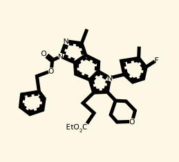 CCOC(=O)CCc1c(C2CCOCC2)n(-c2ccc(F)c(C)c2)c2cc3c(C)nn(C(=O)OCc4ccccc4)c3cc12